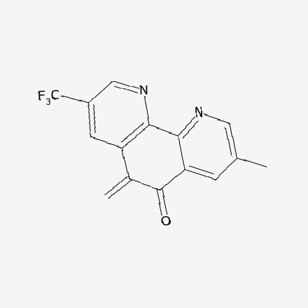 C=C1C(=O)c2cc(C)cnc2-c2ncc(C(F)(F)F)cc21